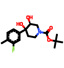 Cc1ccc([C@@]2(O)CCN(C(=O)OC(C)(C)C)C[C@@H]2O)cc1F